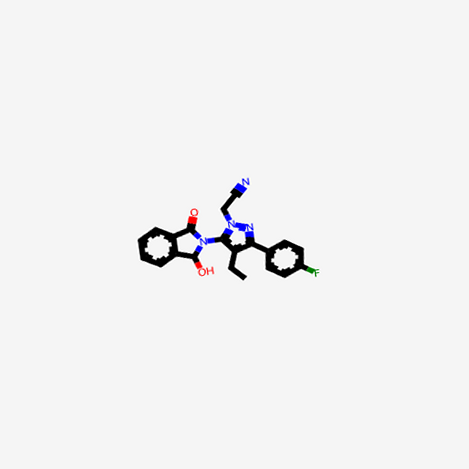 CCc1c(-c2ccc(F)cc2)nn(CC#N)c1N1C(=O)c2ccccc2C1O